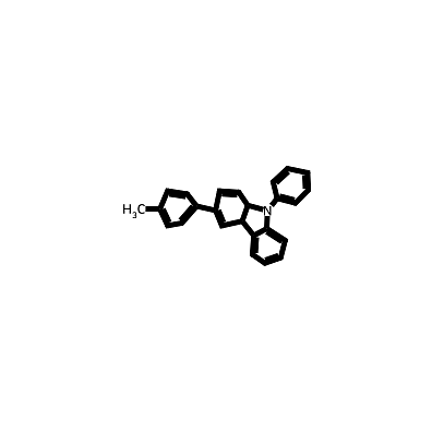 Cc1ccc(C2=CC3c4ccccc4N(c4ccccc4)C3C=C2)cc1